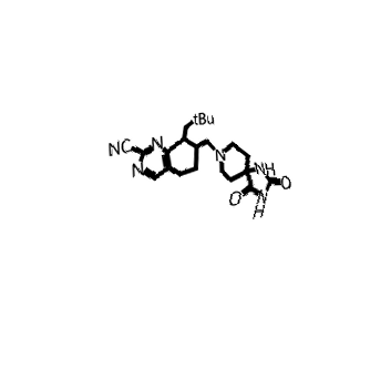 CC(C)(C)CC1c2nc(C#N)ncc2CCC1CN1CCC2(CC1)NC(=O)NC2=O